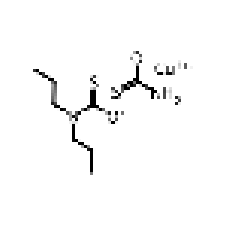 CCCN(CCC)C([O-])=S.NC([O-])=S.[Cu+2]